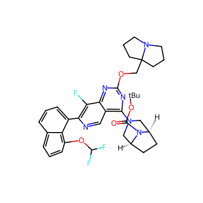 CC(C)(C)OC(=O)N1[C@@H]2CC[C@H]1CN(c1nc(OCC34CCCN3CCC4)nc3c(F)c(-c4cccc5cccc(OC(F)F)c45)ncc13)C2